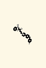 O=C(CCCN1CCC(c2ccc(Cc3ccc(F)cc3)cc2)CC1)C1CNc2ccccc2O1